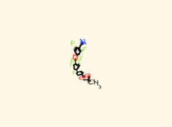 CC1COC(c2ccc(-c3cc(F)c(C(F)(F)Oc4cc(F)c(C#N)c(F)c4)c(F)c3)c(F)c2)OC1